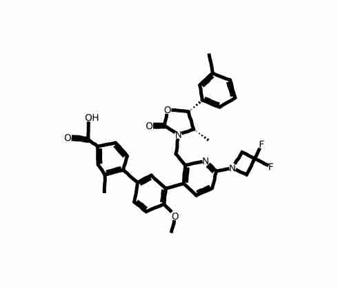 COc1ccc(-c2ccc(C(=O)O)cc2C)cc1-c1ccc(N2CC(F)(F)C2)nc1CN1C(=O)O[C@H](c2cccc(C)c2)[C@@H]1C